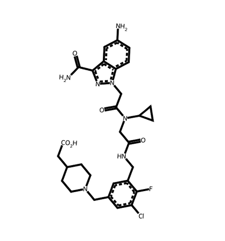 NC(=O)c1nn(CC(=O)N(CC(=O)NCc2cc(CN3CCC(CC(=O)O)CC3)cc(Cl)c2F)C2CC2)c2ccc(N)cc12